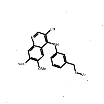 COc1cc2ncc(C#N)c(Nc3cccc(CSC(C)=O)c3)c2cc1OC